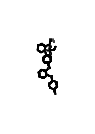 CCS(=O)(=O)[N+]1(c2ccc(Oc3ccccc3OC3=CCC(=S)C=C3)cc2)CC=CC=C1CN